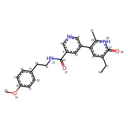 CCc1cc(-c2cncc(C(=O)NCCc3ccc(OC)cc3)c2)c(C)[nH]c1=O